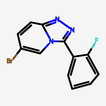 Fc1ccccc1-c1nnc2ccc(Br)cn12